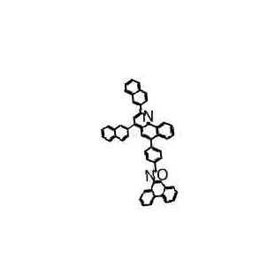 c1ccc2cc(-c3cc(-c4ccc5ccccc5c4)c4cc(-c5ccc(-c6nc7c8ccccc8c8ccccc8c7o6)cc5)c5ccccc5c4n3)ccc2c1